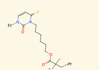 CCn1ccc(=S)n(CCCCCCOC(=O)C(C)(CC(C)C)C(C)C)c1=O